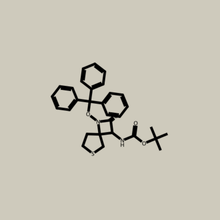 CC(C)(C)OC(=O)NC1C(=O)N(OC(c2ccccc2)(c2ccccc2)c2ccccc2)C12CCSC2